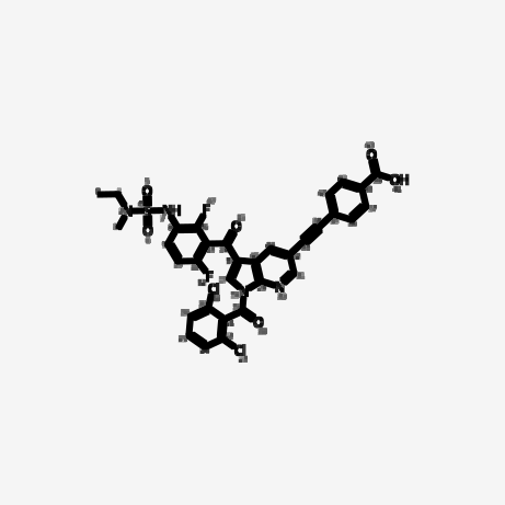 CCN(C)S(=O)(=O)Nc1ccc(F)c(C(=O)c2cn(C(=O)c3c(Cl)cccc3Cl)c3ncc(C#Cc4ccc(C(=O)O)cc4)cc23)c1F